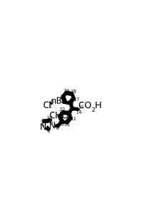 CCCCCl.O=Cc1cncn1Cc1ccc(C(CC(=O)O)c2ccccc2)cc1